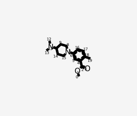 COC(=O)c1cc(N2CCC(N(C)C)CC2)ccc1C